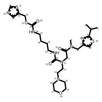 CC(C)c1nc(CN(C)C(=O)CN(CCN2CCOCC2)C(=O)NCCCCNC(=O)OCc2cncs2)cs1